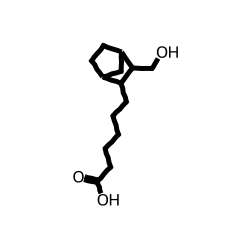 O=C(O)CCCCCC1C2CCC(C2)C1CO